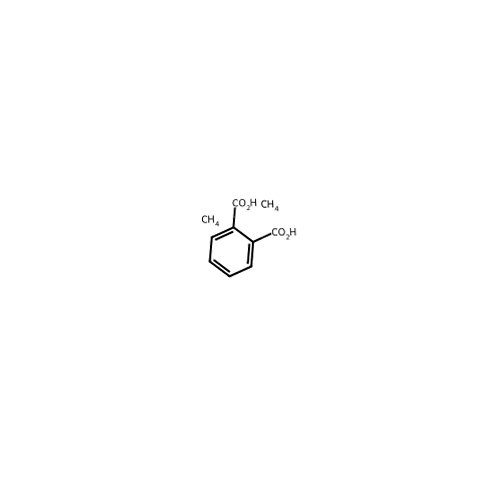 C.C.O=C(O)c1ccccc1C(=O)O